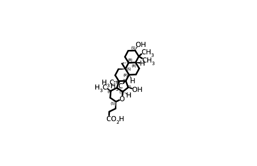 C[C@@H]1C[C@H](CCC(=O)O)O[C@H]2C1[C@@]1(C)CC[C@@]34C[C@@]35CC[C@H](O)C(C)(C)[C@@H]5CC[C@H]4[C@]1(C)[C@H]2O